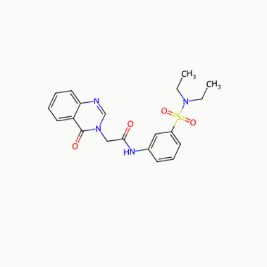 CCN(CC)S(=O)(=O)c1cccc(NC(=O)Cn2cnc3ccccc3c2=O)c1